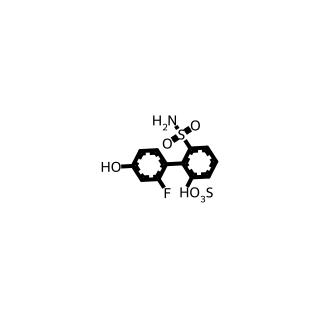 NS(=O)(=O)c1cccc(S(=O)(=O)O)c1-c1ccc(O)cc1F